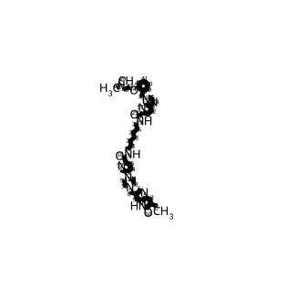 CCc1cc2ncc(CN3CCN(c4ccc(C(=O)NCCCCCCCNC(=O)c5ccc6ncn(Cc7ccccc7OCCN(C)C)c6n5)nc4)CC3)cc2[nH]c1=O